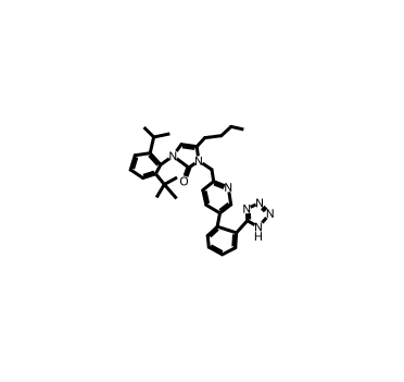 CCCCc1cn(-c2c(C(C)C)cccc2C(C)(C)C)c(=O)n1Cc1ccc(-c2ccccc2-c2nnn[nH]2)cn1